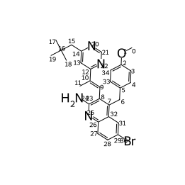 COc1ccc(Cc2c(C=C(C)c3cc(CC(C)(C)C)ncn3)c(N)nc3ccc(Br)cc23)cc1